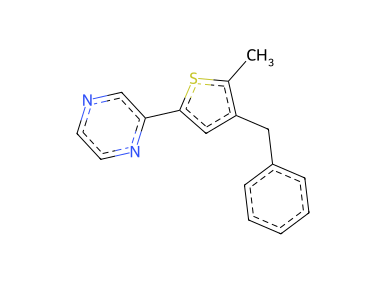 Cc1sc(-c2cnccn2)cc1Cc1ccccc1